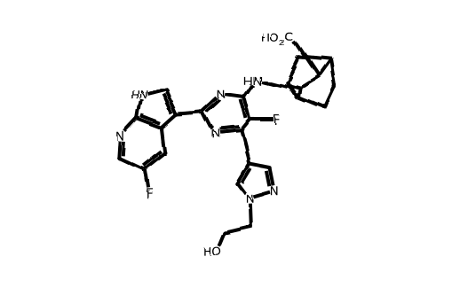 O=C(O)C1C2CCC(CC2)C1Nc1nc(-c2c[nH]c3ncc(F)cc23)nc(-c2cnn(CCO)c2)c1F